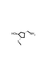 CS[C@H]1C[C@@H](CN)C[C@@H]1O